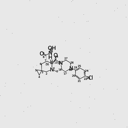 CN1CC2(CC2)C[C@H](C(=O)NO)[C@H]1C(=O)N1CCN(c2ccc(Cl)cc2)CC1